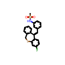 CS(=O)(=O)Nc1cccc(/C=C2\c3ccccc3CSc3cc(F)ccc32)c1